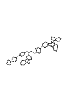 c1ccc(-c2ccc(-c3ccc(CC(CCc4ccc(-c5ccc6c(c5)c5ccccc5n6-c5cccc6ccccc56)cc4)c4ccc5sc6ccccc6c5c4)cc3)cc2)cc1